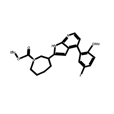 COc1ccc(F)cc1-c1ccnc2[nH]c(C3CCCCN(C(=O)OC(C)(C)C)C3)cc12